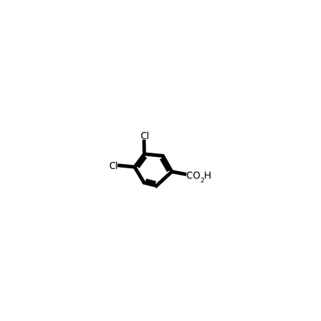 O=C(O)c1[c]cc(Cl)c(Cl)c1